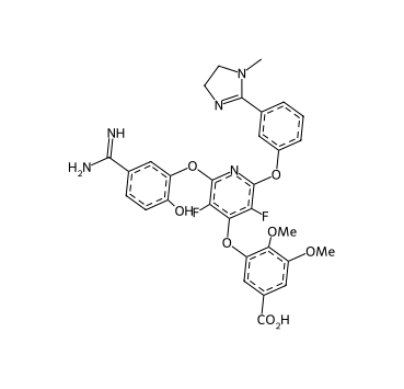 COc1cc(C(=O)O)cc(Oc2c(F)c(Oc3cccc(C4=NCCN4C)c3)nc(Oc3cc(C(=N)N)ccc3O)c2F)c1OC